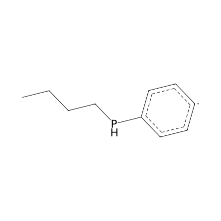 CCCCPc1cc[c]cc1